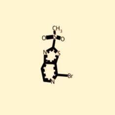 CS(=O)(=O)c1nc2ccnc(Br)c2s1